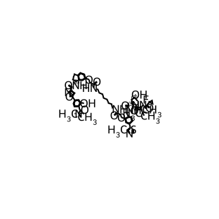 Cc1ncsc1-c1ccc(CNC(=O)[C@@H]2C[C@@H](O)CN2C(=O)C(NC(=O)C2(F)CC2)C(C)(C)C)c(OCC(=O)NCCCCCCCCNC(=O)COc2ccc3c(c2)[C@H](NC(=O)c2cc(-c4ccc(C(=O)N(C)C)c(O)c4)on2)CC3)c1